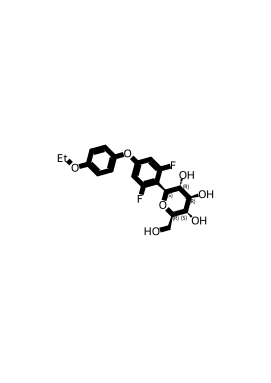 CCOc1ccc(Oc2cc(F)c([C@@H]3O[C@H](CO)[C@@H](O)[C@H](O)[C@H]3O)c(F)c2)cc1